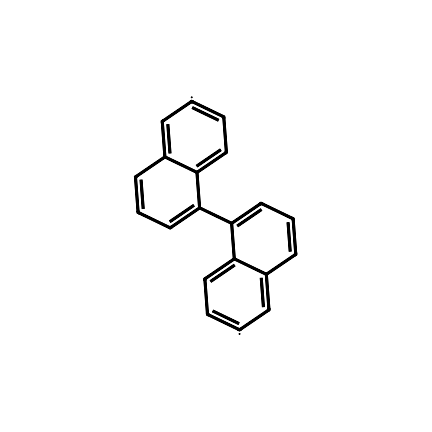 [c]1ccc2c(-c3cccc4c[c]ccc34)cccc2c1